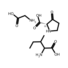 CCC(C)C(N)C(=O)O.NCC(=O)O.O=C(O)[C@H]1NCCC1=O